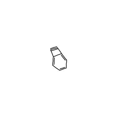 C1#Cc2ccccc21